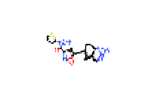 O=C(Nc1cccs1)c1cc(-c2ccc3[nH]ncc3c2)on1